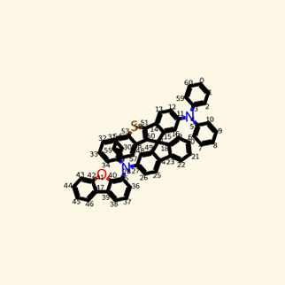 c1ccc(N(c2ccccc2)c2ccc3c(c2)C2(c4ccccc4-c4ccc(N(c5ccccc5)c5cccc6c5oc5ccccc56)cc42)c2c-3sc3ccccc23)cc1